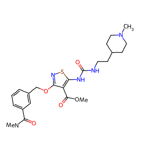 CNC(=O)c1cccc(COc2nsc(NC(=O)NCCC3CCN(C)CC3)c2C(=O)OC)c1